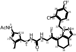 CC(=O)Nc1nc(C)c(SNC(=O)NC/C(F)=C2\CCCc3cnn(Cc4ccc(Cl)cc4Cl)c32)s1